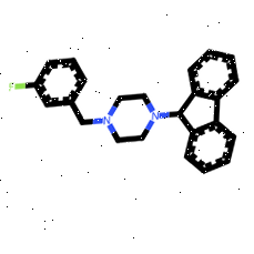 Fc1cccc(CN2CCN(C3c4ccccc4-c4ccccc43)CC2)c1